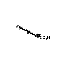 O=C(O)c1ccn(CCCCCCCCCCCCCCF)c1